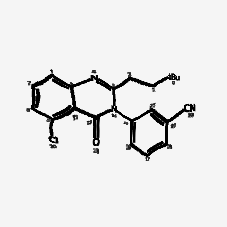 CC(C)(C)[CH]Cc1nc2cccc(Cl)c2c(=O)n1-c1cccc(C#N)c1